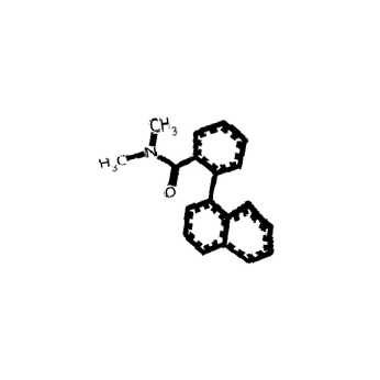 CN(C)C(=O)c1ccccc1-c1cccc2ccccc12